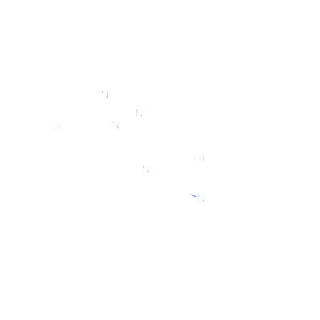 Cc1c(Br)cnc2ncc(C(=O)N3CC[C@H](N4CCc5ccccc5C4)[C@@H](O)C3)n12